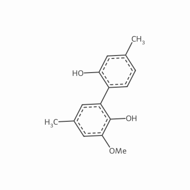 COc1cc(C)cc(-c2ccc(C)cc2O)c1O